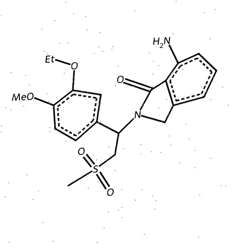 CCOc1cc(C(CS(C)(=O)=O)N2Cc3cccc(N)c3C2=O)ccc1OC